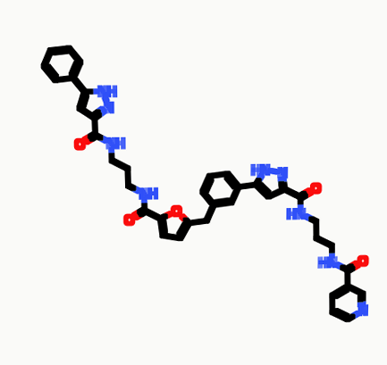 O=C(NCCCNC(=O)c1cc(-c2cccc(Cc3ccc(C(=O)NCCCNC(=O)c4cc(-c5ccccc5)[nH]n4)o3)c2)[nH]n1)c1cccnc1